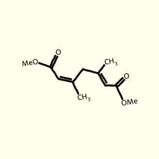 COC(=O)C=C(C)CC(C)=CC(=O)OC